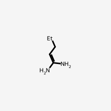 CCCC=C(N)N